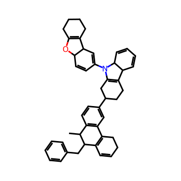 CC1c2ccc(C3CCC4=C(C3)N(C3=CC5C6=C(CCCC6)OC5C=C3)C3C=CC=CC43)cc2C2=C(C=CCC2)C1Cc1ccccc1